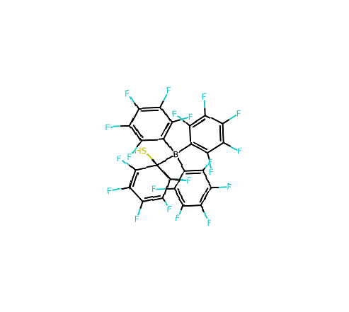 FC1=C(F)C(F)C(S)([B-](c2c(F)c(F)c(F)c(F)c2F)(c2c(F)c(F)c(F)c(F)c2F)c2c(F)c(F)c(F)c(F)c2F)C(F)=C1F